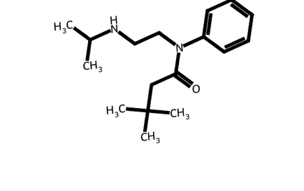 CC(C)NCCN(C(=O)CC(C)(C)C)c1ccccc1